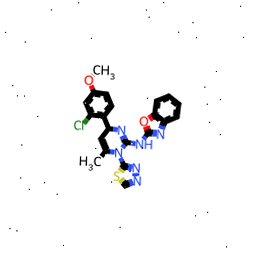 COc1ccc(C2C=C(C)N(c3nncs3)C(Nc3nc4ccccc4o3)=N2)c(Cl)c1